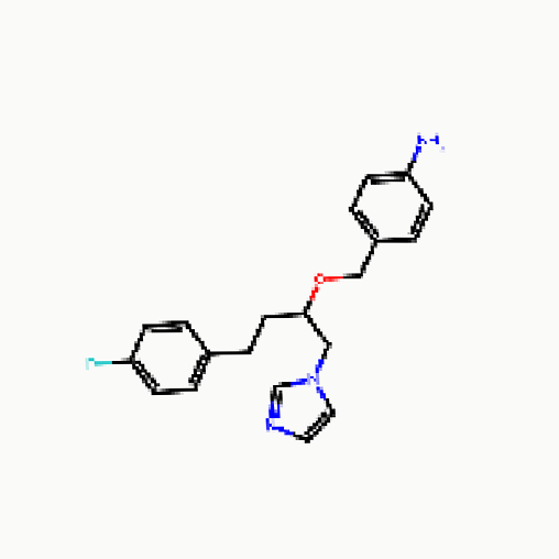 Nc1ccc(COC(CCc2ccc(F)cc2)Cn2ccnc2)cc1